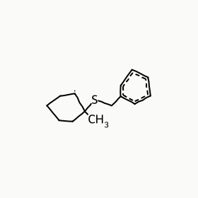 CC1(SCc2ccccc2)[CH]CCCC1